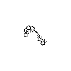 C/C(=N\OCC#Cc1ccc2ccc3ccc(Cl)nc3c2n1)c1cccc(C)n1